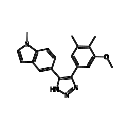 COc1cc(-c2nn[nH]c2-c2ccc3c(ccn3C)c2)cc(C)c1C